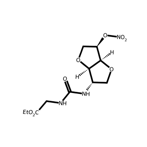 CCOC(=O)CNC(=O)N[C@H]1CO[C@H]2[C@@H]1OC[C@H]2O[N+](=O)[O-]